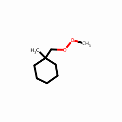 COOCC1(C)CCCCC1